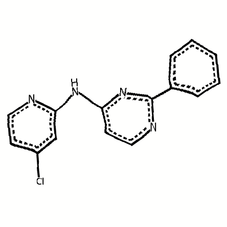 Clc1ccnc(Nc2ccnc(-c3ccccc3)n2)c1